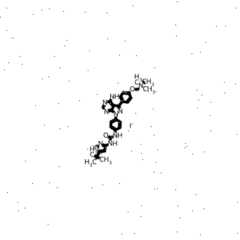 CC(C)(C)c1cc(NC(=O)Nc2ccc(-n3nc(-c4ccc(OC[N+](C)(C)C)cc4)c4c(N)ncnc43)cc2)no1.[I-]